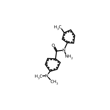 Cc1cccc(N(N)C(=O)c2ccc(N(C)C)cc2)c1